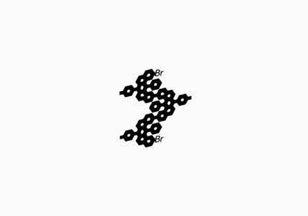 Cc1ccc(-c2c3ccc4ccc(Br)cc4c3c(-c3ccccc3)c3c2ccc2ccc(-c4ccc5ccc6c(-c7ccc(C)cc7)c7ccc8ccc(-c9ccc%10ccc%11c(-c%12ccc(C)cc%12)c%12ccc%13ccc(Br)cc%13c%12c(-c%12ccccc%12)c%11c%10c9)cc8c7c(-c7ccccc7)c6c5c4)cc23)cc1